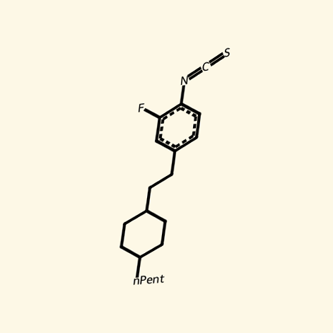 CCCCCC1CCC(CCc2ccc(N=C=S)c(F)c2)CC1